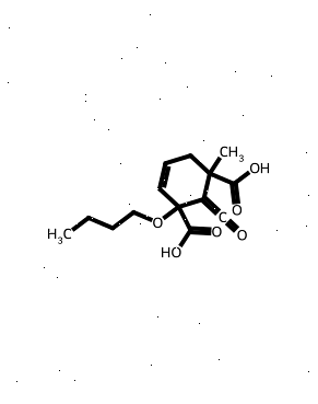 CCCCOC1(C(=O)O)C=CCC(C)(C(=O)O)C1=C=O